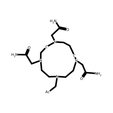 CC(=O)CN1CCN(CC(N)=O)CCCN(CC(N)=O)CCN(CC(N)=O)CC1